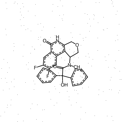 CN(C(=O)C(O)(c1ccccc1)c1ccccc1)C1COCc2[nH]c(=O)c3cc(F)c(F)cc3c21